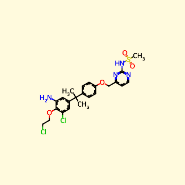 CC(C)(c1ccc(OCc2ccnc(NS(C)(=O)=O)n2)cc1)c1cc(N)c(OCCCl)c(Cl)c1